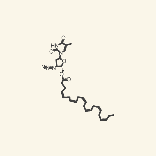 CC/C=C\C/C=C\C/C=C\C/C=C\C/C=C\C/C=C\CCC(=O)OC[C@H]1OC(n2cc(C)c(=O)[nH]c2=O)C[C@@H]1N=[N+]=[N-]